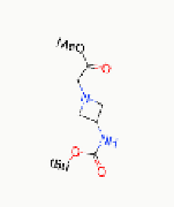 COC(=O)CN1CC(NC(=O)OC(C)(C)C)C1